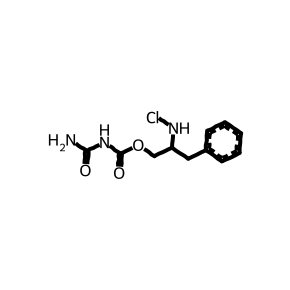 NC(=O)NC(=O)OCC(Cc1ccccc1)NCl